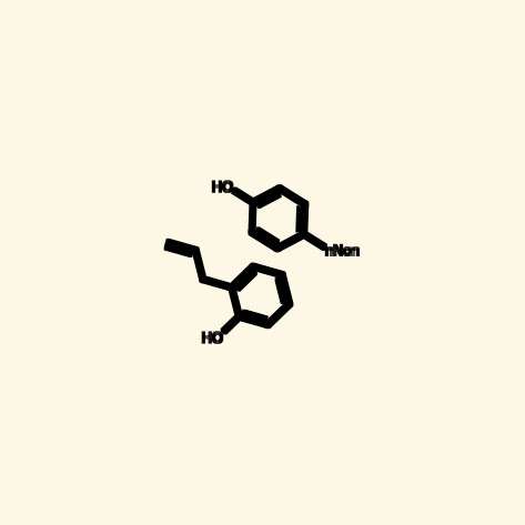 C=CCc1ccccc1O.CCCCCCCCCc1ccc(O)cc1